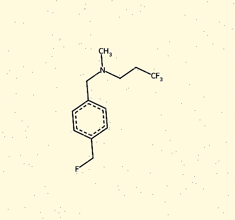 CN(CCC(F)(F)F)Cc1ccc(CF)cc1